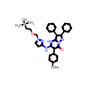 COc1ccc(-c2c(Nc3ccn(COCC[Si](C)(C)C)n3)[nH]c3c(-c4ccccc4)c(-c4ccccc4)nn3c2=O)cc1